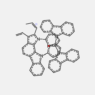 C=Cc1c(/C=C\C)n(-c2cccc(-n3c4ccccc4c4ccccc43)n2)c2c1ccc1c3ccccc3n(-c3cccc(-n4c5ccccc5c5ccccc54)n3)c12